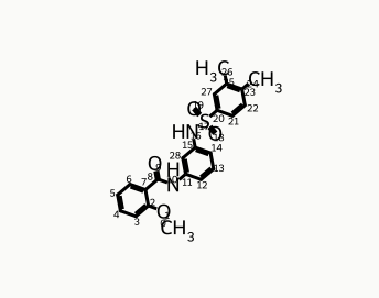 COc1ccccc1C(=O)Nc1cccc(NS(=O)(=O)c2ccc(C)c(C)c2)c1